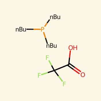 CCCCP(CCCC)CCCC.O=C(O)C(F)(F)F